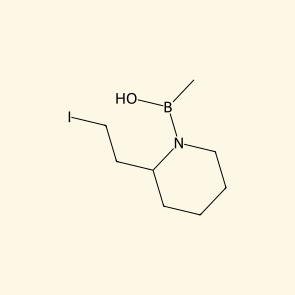 CB(O)N1CCCCC1CCI